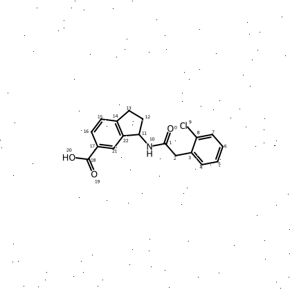 O=C(Cc1ccccc1Cl)NC1CCc2ccc(C(=O)O)cc21